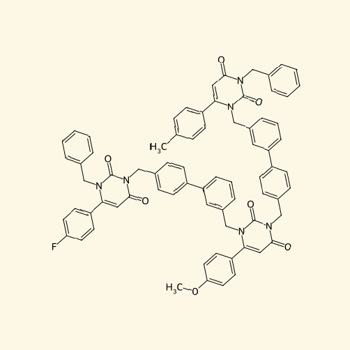 COc1ccc(-c2cc(=O)n(Cc3ccc(-c4cccc(Cn5c(-c6ccc(C)cc6)cc(=O)n(Cc6ccccc6)c5=O)c4)cc3)c(=O)n2Cc2cccc(-c3ccc(Cn4c(=O)cc(-c5ccc(F)cc5)n(Cc5ccccc5)c4=O)cc3)c2)cc1